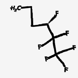 [CH2]CC[C@H](F)C(F)(F)C(F)(F)F